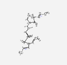 C=CN(/C=C/C)C(=O)NCOCN(C=C)C(=O)N/C=C/C